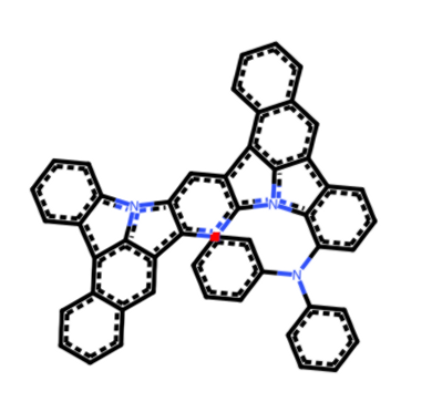 c1ccc(N(c2ccccc2)c2cccc3c4cc5ccccc5c5c6cc7c(nc6n(c23)c45)c2cc3ccccc3c3c4ccccc4n7c23)cc1